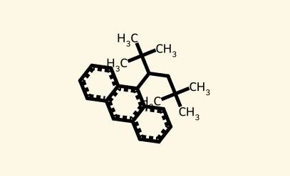 CC(C)(C)CC(c1c2ccccc2cc2ccccc12)C(C)(C)C